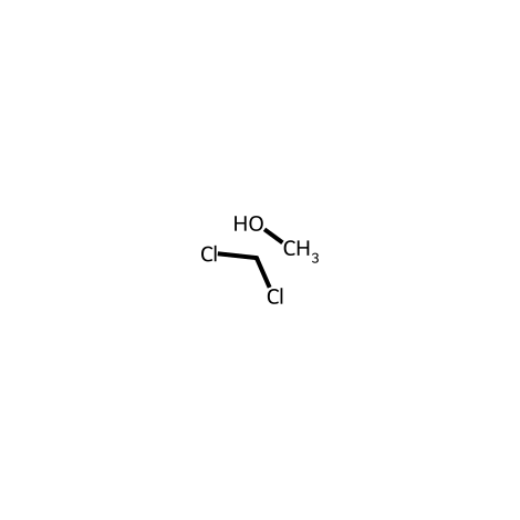 CO.ClCCl